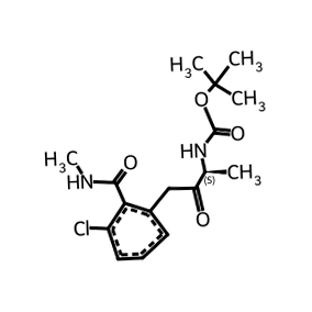 CNC(=O)c1c(Cl)cccc1CC(=O)[C@H](C)NC(=O)OC(C)(C)C